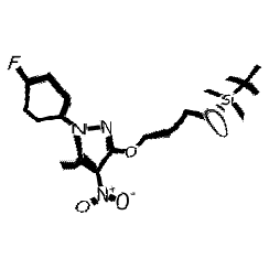 Cc1c([N+](=O)[O-])c(OCCCO[Si](C)(C)C(C)(C)C)nn1C1CCC(F)CC1